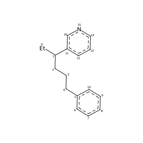 [CH2]CC(CCCc1ccccc1)c1cccnc1